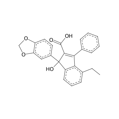 CCc1cccc2c1C(c1ccccc1)=C(C(=O)O)C2(O)c1ccc2c(c1)OCO2